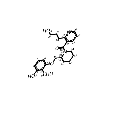 O=Cc1c(O)cccc1OC[C@@H]1CCCCN1C(=O)c1cccnc1CCCO